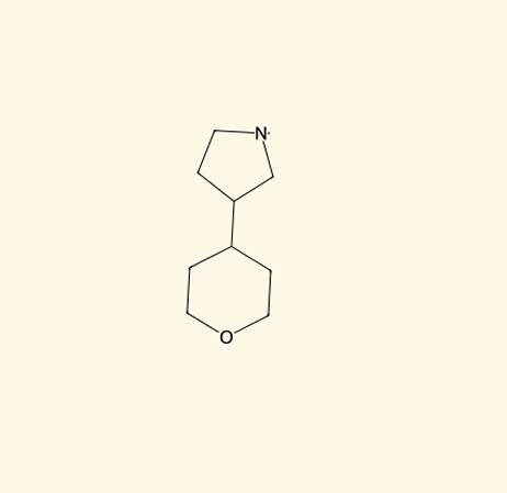 C1CC(C2CCOCC2)C[N]1